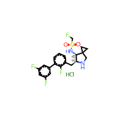 Cl.O=S(=O)(CF)N[C@@H]1[C@H](Cc2cccc(-c3cc(F)cc(F)c3)c2F)NCC12CC2